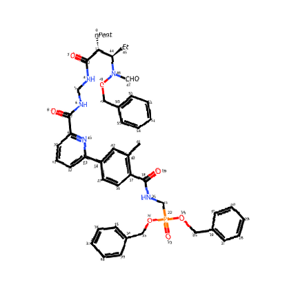 CCCCC[C@@H](C(=O)NCNC(=O)c1cccc(-c2ccc(C(=O)NCP(=O)(OCc3ccccc3)OCc3ccccc3)c(C)c2)n1)[C@@H](CC)N(C=O)OCc1ccccc1